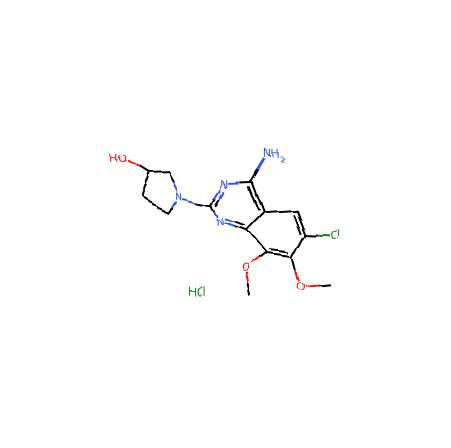 COc1c(Cl)cc2c(N)nc(N3CCC(O)C3)nc2c1OC.Cl